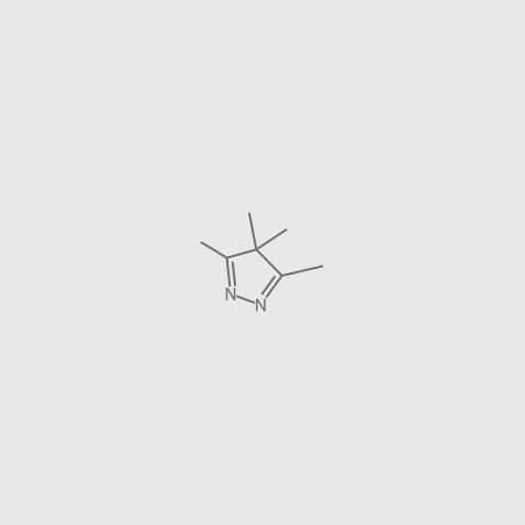 CC1=NN=C(C)C1(C)C